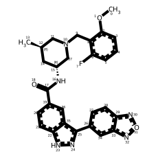 COc1cccc(F)c1CN1C[C@H](C)C[C@@H](NC(=O)c2ccc3[nH]nc(-c4ccc5nonc5c4)c3c2)C1